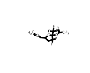 C=COCC1CC(F)(F)C(OC(C)=O)(C(F)(F)F)O1